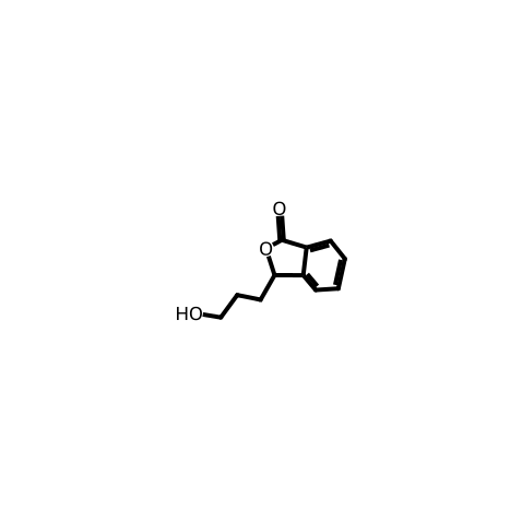 O=C1OC(CCCO)c2ccccc21